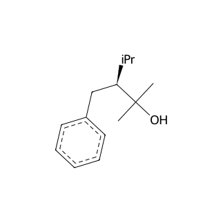 CC(C)[C@H](Cc1ccccc1)C(C)(C)O